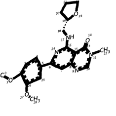 COc1ccc(-c2cc3ncn(C)c(=O)c3c(NC[C@@H]3CCCO3)n2)cc1OC